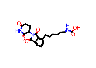 O=C(O)NCCCCCCc1cccc2c1C(=O)N(C1CCC(=O)NC1=O)C2=O